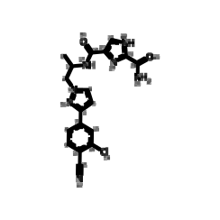 CC(Cn1ccc(-c2ccc(C#N)c(Cl)c2)n1)NC(=O)c1c[nH]c(C(N)=O)n1